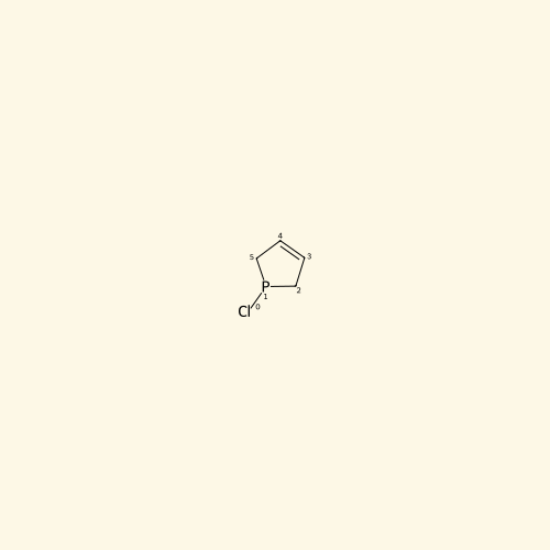 ClP1CC=CC1